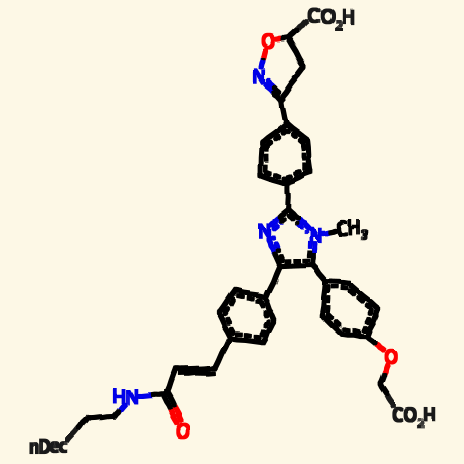 CCCCCCCCCCCCNC(=O)C=Cc1ccc(-c2nc(-c3ccc(C4=NOC(C(=O)O)C4)cc3)n(C)c2-c2ccc(OCC(=O)O)cc2)cc1